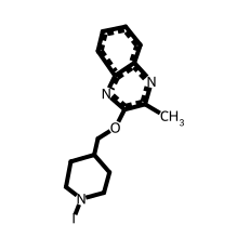 Cc1nc2ccccc2nc1OCC1CCN(I)CC1